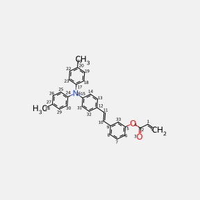 C=CC(=O)Oc1cccc(C=Cc2ccc(N(c3ccc(C)cc3)c3ccc(C)cc3)cc2)c1